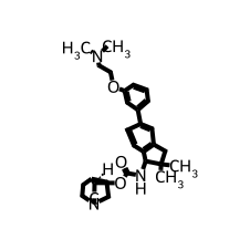 CN(C)CCOc1cccc(-c2ccc3c(c2)CC(C)(C)C3NC(=O)O[C@H]2CN3CCC2CC3)c1